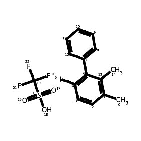 Cc1ccc(I)c(-c2ccccc2)c1C.O=S(=O)(O)C(F)(F)F